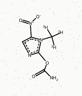 [2H]C([2H])([2H])n1c([N+](=O)[O-])cnc1OC(N)=O